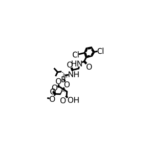 COC(=O)C[C@]1(CC(=O)O)OB([C@H](CC(C)C)NC(=O)CNC(=O)c2cc(Cl)ccc2Cl)OC1=O